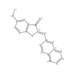 COc1ccc2c(c1)C(=O)/C(=C/c1ccc3ncccc3c1)C2